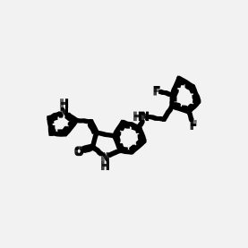 O=C1Nc2ccc(NCc3c(F)cccc3F)cc2C1=Cc1ccc[nH]1